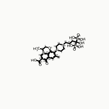 CC1COc2c(N3CCN(CCCC(O)(P(=O)(O)O)P(=O)(O)O)CC3)c(F)cc3c(=O)c(C(=O)O)cn1c23